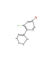 Fc1cc(Br)ccc1C1=CCCCC1